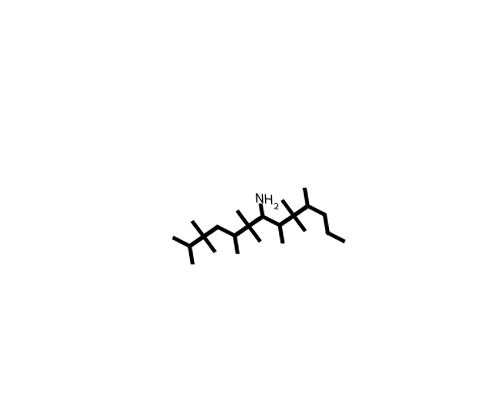 CCCC(C)C(C)(C)C(C)C(N)C(C)(C)C(C)CC(C)(C)C(C)C